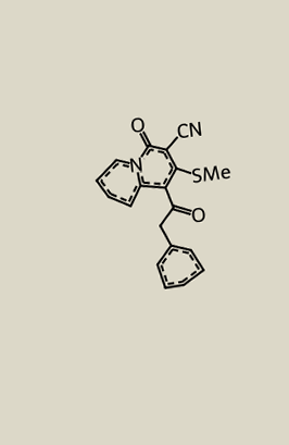 CSc1c(C#N)c(=O)n2ccccc2c1C(=O)Cc1ccccc1